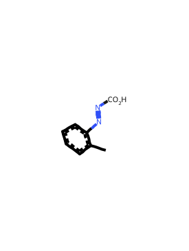 Cc1ccccc1N=NC(=O)O